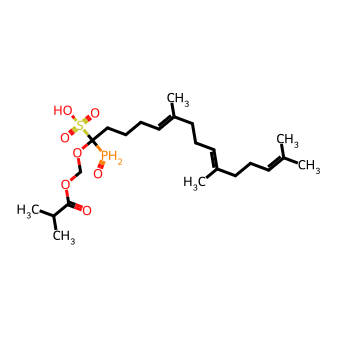 CC(C)=CCCC(C)=CCCC(C)=CCCCC(OCOC(=O)C(C)C)([PH2]=O)S(=O)(=O)O